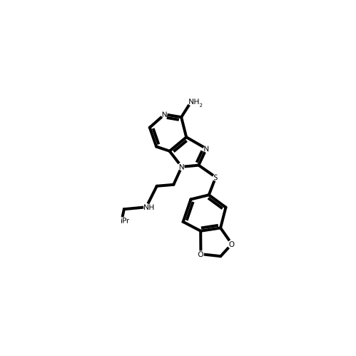 CC(C)CNCCn1c(Sc2ccc3c(c2)OCO3)nc2c(N)nccc21